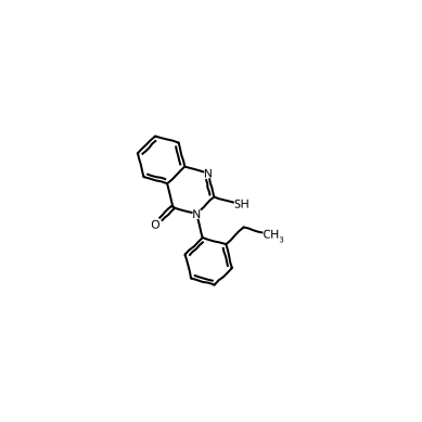 CCc1ccccc1-n1c(S)nc2ccccc2c1=O